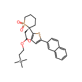 C[Si](C)(C)CCOC(=O)C[C@]1(c2ccc(-c3ccc4ccccc4c3)s2)CCCCS1(=O)=O